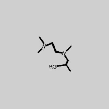 CC(O)CN(C)CCN(C)C